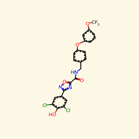 O=C(NCc1ccc(Oc2cccc(OC(F)(F)F)c2)cc1)c1nc(-c2cc(Cl)c(O)c(Cl)c2)no1